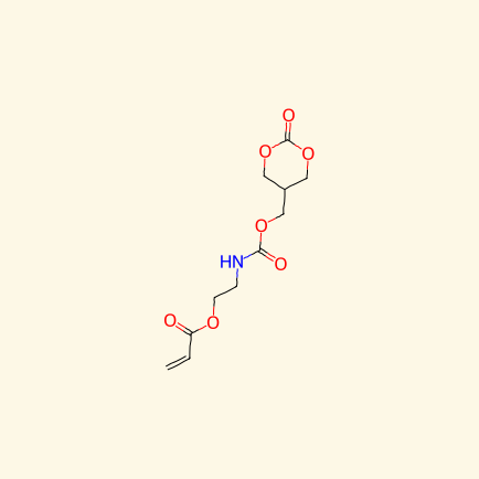 C=CC(=O)OCCNC(=O)OCC1COC(=O)OC1